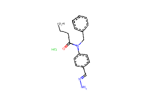 Cl.NN=Cc1ccc(N(Cc2ccccc2)C(=O)CCC(=O)O)cc1